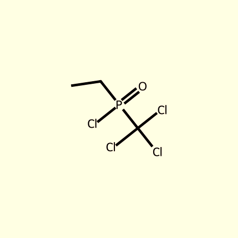 CCP(=O)(Cl)C(Cl)(Cl)Cl